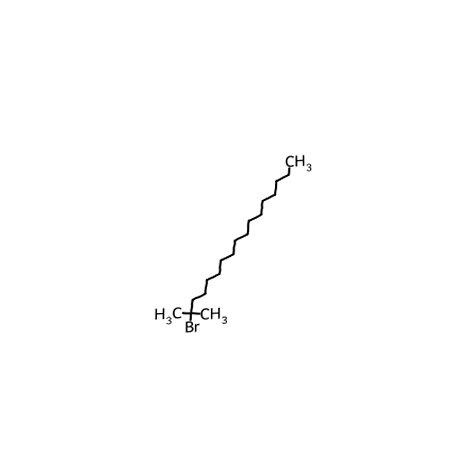 CCCCCCCCCCCCCCCC(C)(C)Br